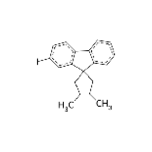 CCCC1(CCC)c2ccccc2-c2ccc(I)cc21